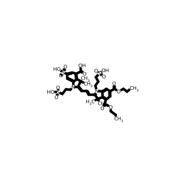 CCCOC(=O)c1cc(C(=O)OCCC)c2c(c1)[N+](CCCS(=O)(=O)O)=C(/C=C/C=C1/N(CCCS(=O)(=O)O)c3cc(S(=O)(=O)O)cc(C(=O)O)c3C1(C)C)C2(C)C